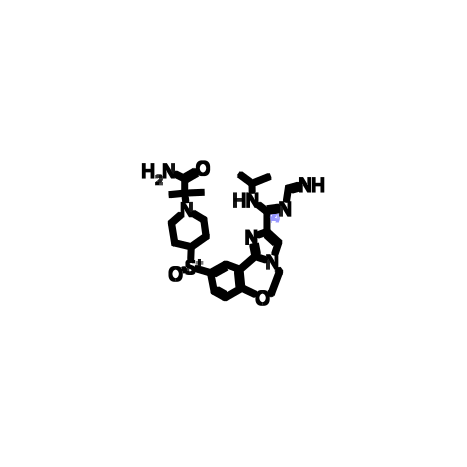 CC(C)N/C(=N\C=N)c1cn2c(n1)-c1cc([S+]([O-])C3CCN(C(C)(C)C(N)=O)CC3)ccc1OCC2